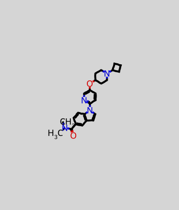 CN(C)C(=O)c1ccc2c(ccn2-c2ccc(OC3CCN(C4CCC4)CC3)cn2)c1